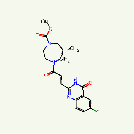 C[C@H]1CN(C(=O)OC(C)(C)C)CCN(C(=O)CCc2nc3ccc(F)cc3c(=O)[nH]2)[SiH2]1